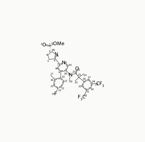 COC(=O)[C@H]1CCC(c2cc(-c3ccc(F)cc3C)c(N(C)C(=O)C(C)(C)c3cc(C(F)(F)F)cc(C(F)(F)F)c3)cn2)=N1